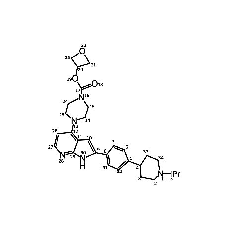 CC(C)N1CCC(c2ccc(-c3cc4c(N5CCN(C(=O)OC6COC6)CC5)ccnc4[nH]3)cc2)CC1